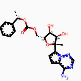 C[C@H](OC(=O)OC[C@H]1O[C@@](C)(c2ccc3c(N)ncnn23)[C@H](O)[C@@H]1O)c1ccccc1